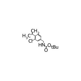 C=C(C)c1ccc(CNC(=O)OC(C)(C)C)cc1Cl